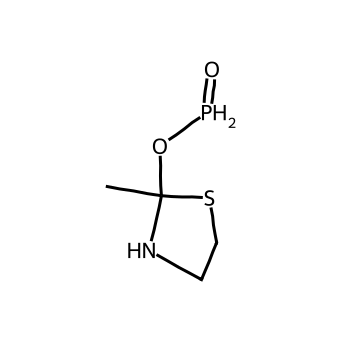 CC1(O[PH2]=O)NCCS1